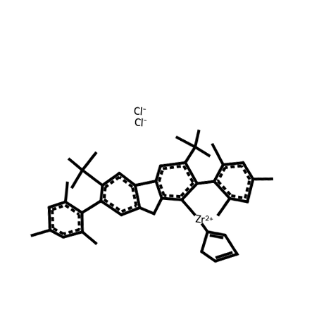 Cc1cc(C)c(-c2cc3c(cc2C(C)(C)C)-c2cc(C(C)(C)C)c(-c4c(C)cc(C)cc4C)[c]([Zr+2][C]4=CC=CC4)c2C3)c(C)c1.[Cl-].[Cl-]